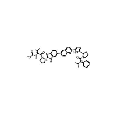 COC(=O)N[C@H](C(=O)N1CCC[C@H]1c1nc2ccc(-c3ccc4cc(-c5cnc(C6CCCN6C(=O)[C@@H](c6ccccc6)C(C)C)[nH]5)ccc4c3)cc2[nH]1)C(C)C